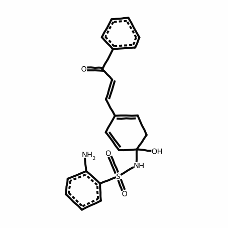 Nc1ccccc1S(=O)(=O)NC1(O)C=CC(C=CC(=O)c2ccccc2)=CC1